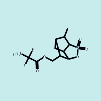 CC1C2CC3C(OS(=O)(=O)C13)C2COC(=O)C(F)(F)S(=O)(=O)O